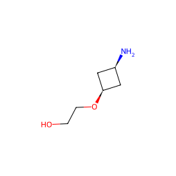 N[C@H]1C[C@@H](OCCO)C1